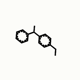 CCc1ccc(C(C)c2ccccc2)cc1